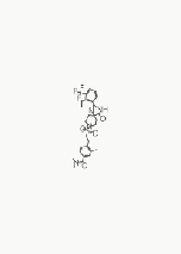 Cc1cc(C(=O)N(C)C)ccc1CCS(=O)(=O)N1CCC2(CC1)N=C(c1cccc(C(F)(F)F)c1F)NC2=O